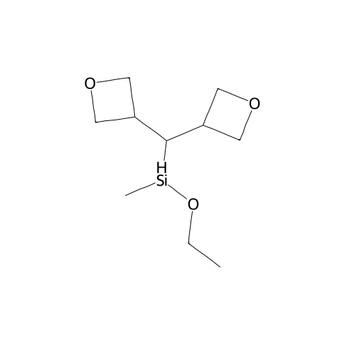 CCO[SiH](C)C(C1COC1)C1COC1